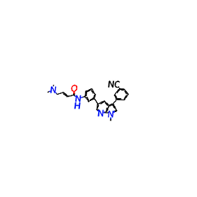 CN(C)C/C=C/C(=O)Nc1cccc(-c2cnc3c(c2)c(-c2cccc(C#N)c2)cn3C)c1